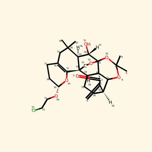 C=C1C(=O)[C@@]23C4OC(C)(C)OC25OC[C@]2(C6=C(CC[C@@H](OCCCl)O6)CC(C)(C)[C@H]2[C@@H]5O)[C@@H]3CC[C@@H]14